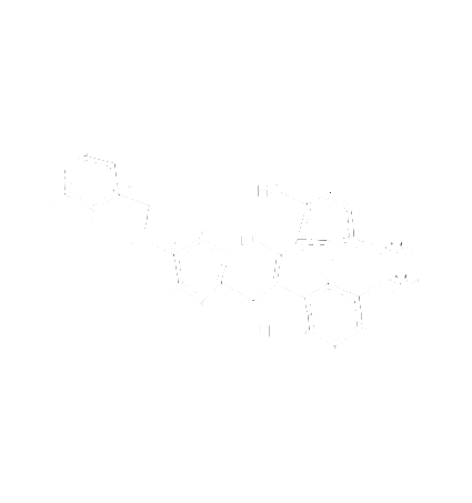 CCC(=C(c1cccc(OC)c1)[C@H](O)c1ccc(OCc2ccccc2)cc1)c1cc(OC)ccc1O